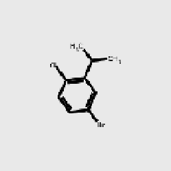 C[C](C)c1cc(Br)ccc1Cl